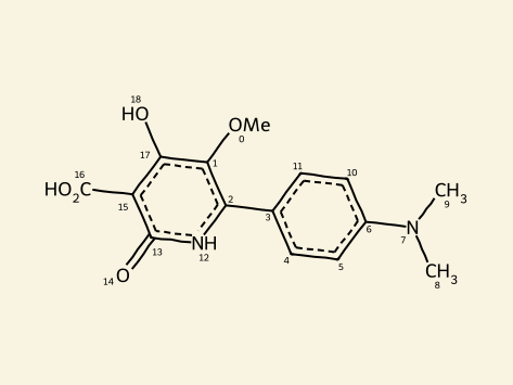 COc1c(-c2ccc(N(C)C)cc2)[nH]c(=O)c(C(=O)O)c1O